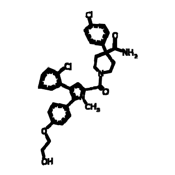 Cn1c(C(=O)N2CCC(C(N)=O)(c3ccc(Cl)cc3)CC2)cc(-c2ccccc2Cl)c1-c1ccc(OCCO)cc1